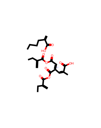 C=C(CC)C(=O)OC(=O)/C=C(/C=C(C)C(=O)O)C(=O)OC(=O)C(=C)CC.C=C(CCCC)C(=O)O